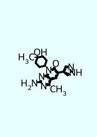 Cc1nc(N)nc2c1cc(-c1cn[nH]c1)c(=O)n2[C@H]1CC[C@@](C)(O)CC1